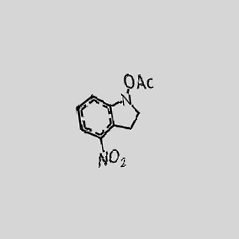 CC(=O)ON1CCc2c1cccc2[N+](=O)[O-]